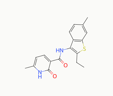 CCc1sc2cc(C)ccc2c1NC(=O)c1ccc(C)[nH]c1=O